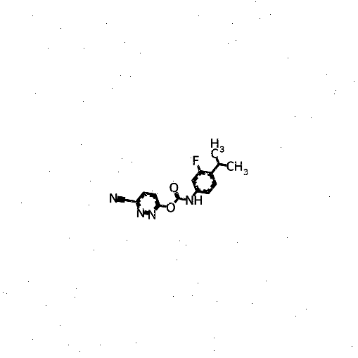 CC(C)c1ccc(NC(=O)Oc2ccc(C#N)nn2)cc1F